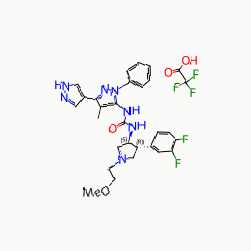 COCCN1C[C@@H](NC(=O)Nc2c(C)c(-c3cn[nH]c3)nn2-c2ccccc2)[C@H](c2ccc(F)c(F)c2)C1.O=C(O)C(F)(F)F